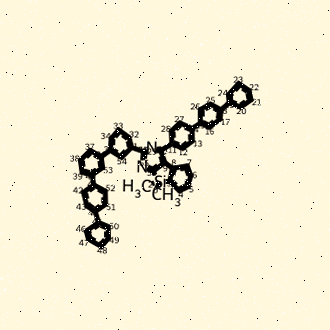 C[Si]1(C)c2ccccc2-c2c(-c3ccc(-c4ccc(-c5ccccc5)cc4)cc3)nc(-c3cccc(-c4cccc(-c5ccc(-c6ccccc6)cc5)c4)c3)nc21